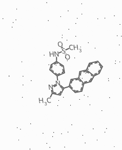 Cc1cc(-c2ccc3cc4ccccc4cc3c2)n(-c2ccc(NS(C)(=O)=O)cc2)n1